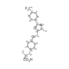 Cc1nc(-c2ccc(C(F)(F)F)cc2)oc1COc1ccc(CC(C)C(=O)O)cc1